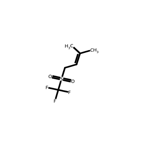 CC(C)=CCS(=O)(=O)C(F)(F)F